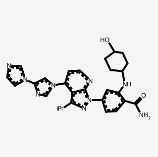 CC(C)c1nn(-c2ccc(C(N)=O)c(NC3CCC(O)CC3)c2)c2nccc(-n3cnc(-n4ccnc4)c3)c12